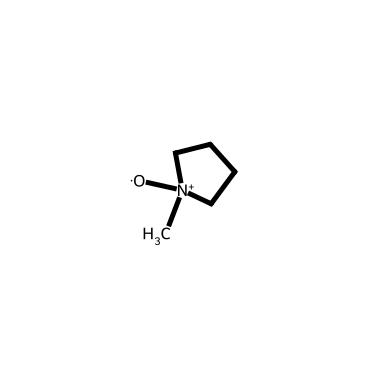 C[N+]1([O])CCCC1